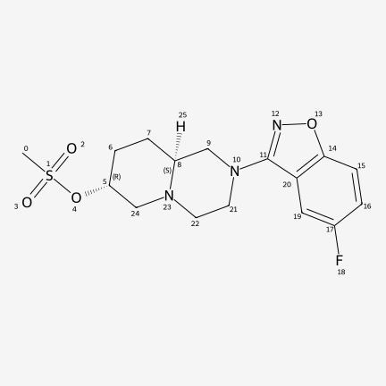 CS(=O)(=O)O[C@@H]1CC[C@H]2CN(c3noc4ccc(F)cc34)CCN2C1